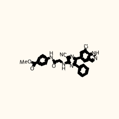 COC(=O)c1ccc(NC(=O)CNc2nc(-c3ccccc3)c(-c3cc(Cl)c4[nH]ncc4c3)nc2C#N)cc1